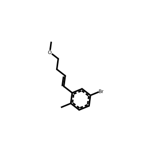 COCCC=Cc1cc(Br)ccc1C